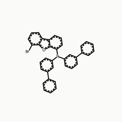 Brc1cccc2c1oc1c(N(c3cccc(-c4ccccc4)c3)c3cccc(-c4ccccc4)c3)cccc12